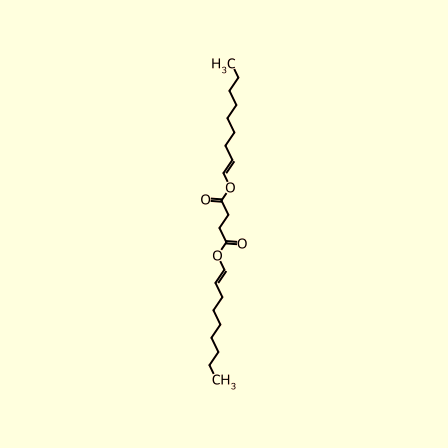 CCCCCCC/C=C/OC(=O)CCC(=O)O/C=C/CCCCCCC